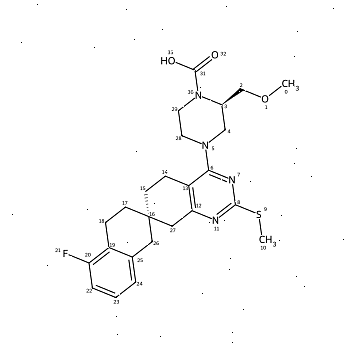 COC[C@H]1CN(c2nc(SC)nc3c2CC[C@]2(CCc4c(F)cccc4C2)C3)CCN1C(=O)O